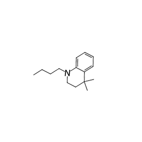 CCCCN1CCC(C)(C)c2ccccc21